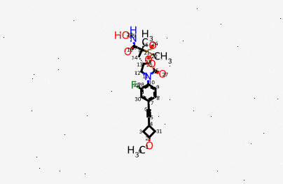 COC1CC(C#Cc2ccc(N3C[C@H](C[C@](C)(C(=O)NO)S(C)(=O)=O)OC3=O)c(F)c2)C1